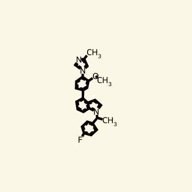 COc1cc(-c2cccc3c2ccn3C(C)c2ccc(F)cc2)ccc1-n1cnc(C)c1